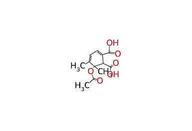 CC(=O)OC1(C)C(C)=CC=C(C(=O)O)C1C(=O)O